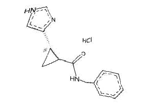 Cl.O=C(Nc1ccccc1)C1C[C@@H]1c1c[nH]cn1